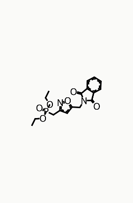 CCOP(=O)(Cc1cc(CN2C(=O)c3ccccc3C2=O)on1)OCC